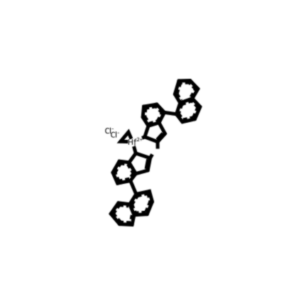 CC1=Cc2c(-c3cccc4ccccc34)cccc2[CH]1[Hf+2]1([CH]2C(C)=Cc3c(-c4cccc5ccccc45)cccc32)[CH2][CH2]1.[Cl-].[Cl-]